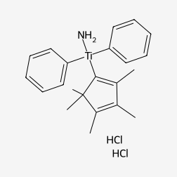 CC1=C(C)C(C)(C)[C]([Ti]([NH2])([c]2ccccc2)[c]2ccccc2)=C1C.Cl.Cl